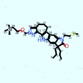 CCCC1(CCC)C(=O)N(CCSC)c2cc3c4c([nH]c3cc21)-c1nn(COCC[Si](C)(C)C)cc1CCC4